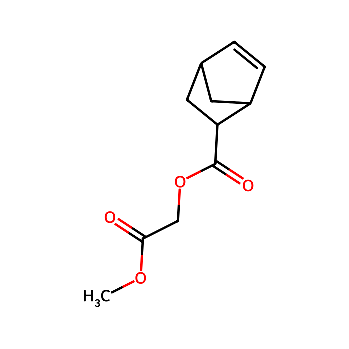 COC(=O)COC(=O)C1CC2C=CC1C2